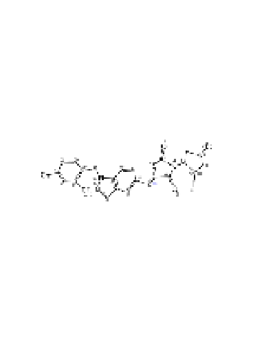 CCN1CC(N2C(=O)S/C(=C\c3ccc4c(cnn4Cc4ccc(Cl)cc4C(F)(F)F)c3)C2=O)[C@H](F)C1